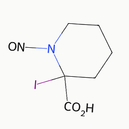 O=NN1CCCCC1(I)C(=O)O